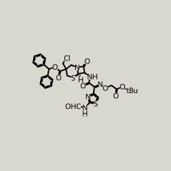 CC(C)(C)OC(=O)CON=C(C(=O)NC1C(=O)N2CC(CCl)(C(=O)OC(c3ccccc3)c3ccccc3)CS[C@H]12)c1csc(NC=O)n1